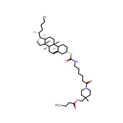 CC(C)CCC[C@@H](C)[C@H]1CC[C@H]2[C@@H]3CC=C4C[C@@H](OC(=O)NCCCCCC(=O)N5CCC(C)(COC(=O)CCC(=O)O)CC5)CC[C@]4(C)[C@H]3CC[C@]12C